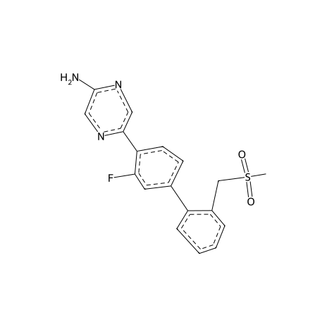 CS(=O)(=O)Cc1ccccc1-c1ccc(-c2cnc(N)cn2)c(F)c1